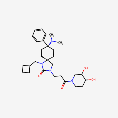 CN(C)[C@]1(c2ccccc2)CC[C@@]2(CC1)CN(CCC(=O)N1CCC(O)C(O)C1)C(=O)N2CC1CCC1